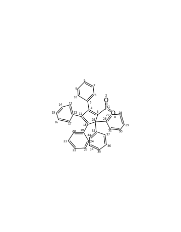 O=P(=O)C1=C(c2ccccc2)C(c2ccccc2)=C(c2ccccc2)C1(c1ccccc1)c1ccccc1